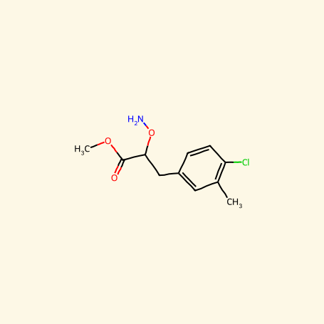 COC(=O)C(Cc1ccc(Cl)c(C)c1)ON